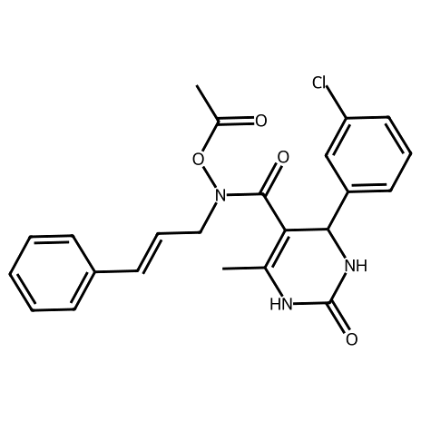 CC(=O)ON(CC=Cc1ccccc1)C(=O)C1=C(C)NC(=O)NC1c1cccc(Cl)c1